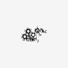 CC(=O)C[n+]1ccn([C@H]2CC[C@H](C(C(N)=O)(c3ccccc3)c3ccccc3)C2)c1C.[Br-]